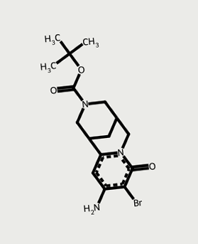 CC(C)(C)OC(=O)N1CC2CC(C1)c1cc(N)c(Br)c(=O)n1C2